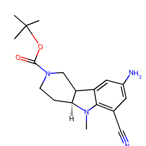 CN1c2c(C#N)cc(N)cc2C2CN(C(=O)OC(C)(C)C)CC[C@@H]21